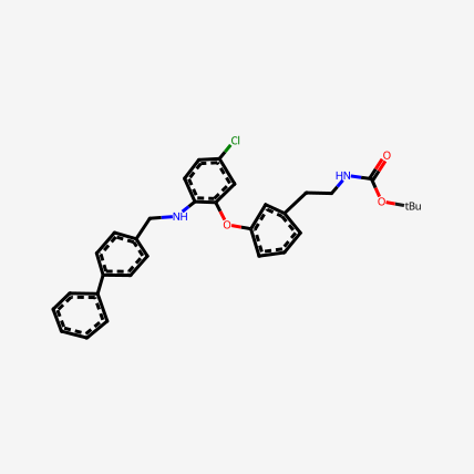 CC(C)(C)OC(=O)NCCc1cccc(Oc2cc(Cl)ccc2NCc2ccc(-c3ccccc3)cc2)c1